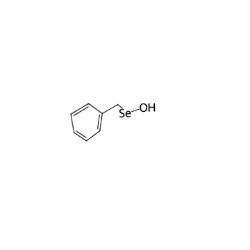 O[Se]Cc1ccccc1